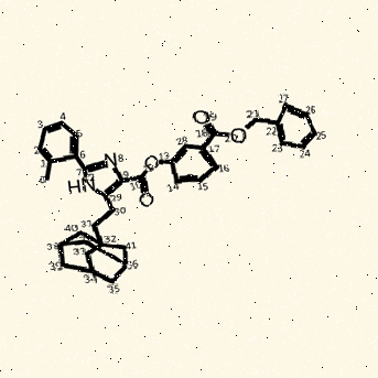 Cc1ccccc1-c1nc(C(=O)Oc2cccc(C(=O)OCc3ccccc3)c2)c(CCC23CC4CC(CC(C4)C2)C3)[nH]1